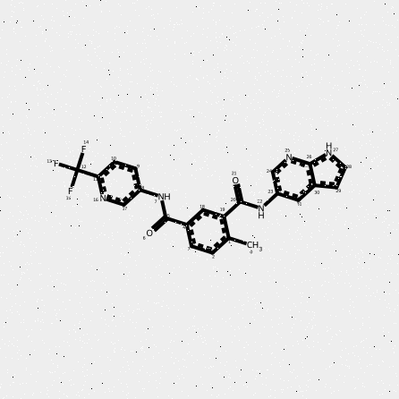 Cc1ccc(C(=O)Nc2ccc(C(F)(F)F)nc2)cc1C(=O)Nc1cnc2[nH]ccc2c1